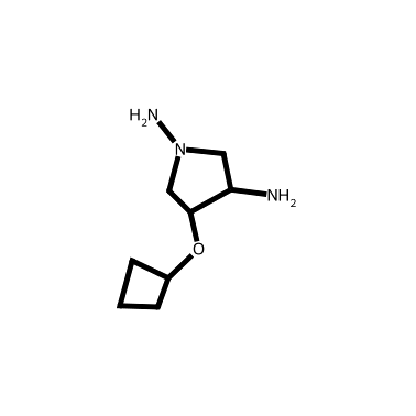 NC1CN(N)CC1OC1CCC1